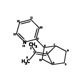 CC(C)=C1C2CCC1C(c1ccccn1)C2